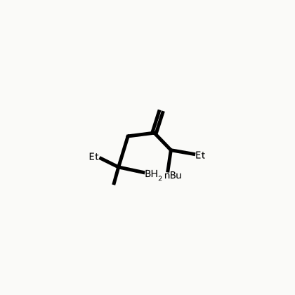 BC(C)(CC)CC(=C)C(CC)CCCC